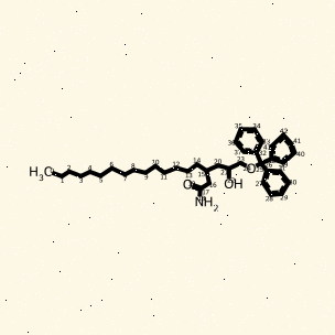 CCCCCCCCCCCCCCCC(CC(N)=O)CC(O)COC(c1ccccc1)(c1ccccc1)c1ccccc1